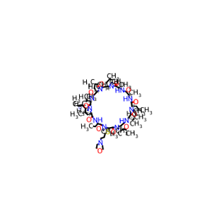 C/C=C/C[C@@H](C)C[C@@H]1C(=O)NC(CC)C(=O)N(C)[C@H](SCCCN2CCOCC2)C(=O)N(C)[C@@H](C(C)CC)C(=O)N[C@@H](C(C)C)C(=O)N(C)[C@H](CC(C)C)C(=O)N[C@@H](C)C(=O)N[C@H](C)C(=O)N(C)[C@H](CC(C)C)C(=O)N(C)[C@H](CC(C)C)C(=O)N(C)[C@H](C(C)C)C(=O)N1C